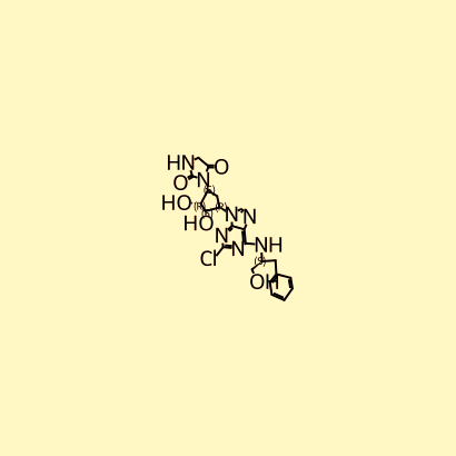 O=C1CNC(=O)N1[C@H]1C[C@@H](n2cnc3c(N[C@H](CO)Cc4ccccc4)nc(Cl)nc32)[C@H](O)[C@@H]1O